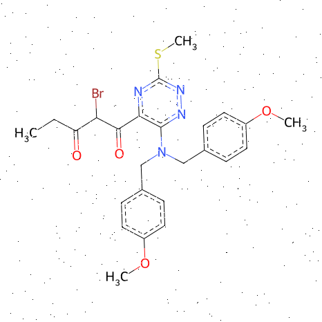 CCC(=O)C(Br)C(=O)c1nc(SC)nnc1N(Cc1ccc(OC)cc1)Cc1ccc(OC)cc1